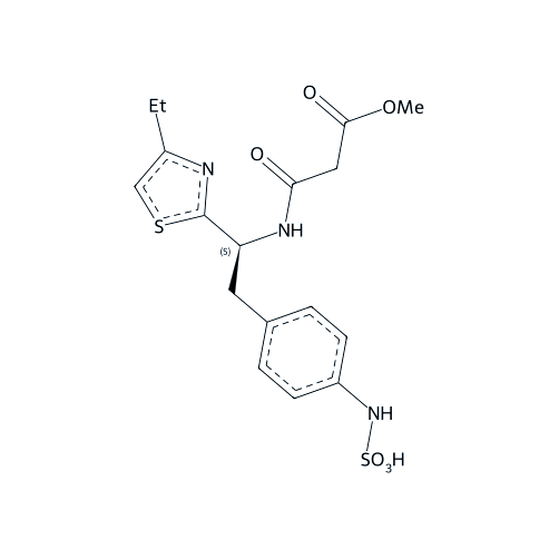 CCc1csc([C@H](Cc2ccc(NS(=O)(=O)O)cc2)NC(=O)CC(=O)OC)n1